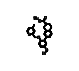 CCOc1ccc(OCc2cc(C)ccn2)c(-c2ccc3c(c2)CN(C(=O)OC(C)(C)C)CC3)c1